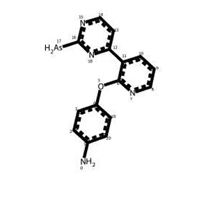 Nc1ccc(Oc2ncccc2-c2ccnc([AsH2])n2)cc1